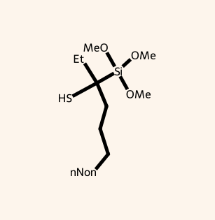 CCCCCCCCCCCCC(S)(CC)[Si](OC)(OC)OC